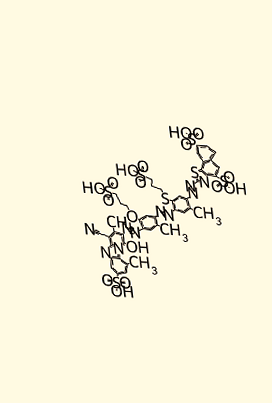 Cc1cc(N=Nc2cc(OCCCS(=O)(=O)O)c(N=Nc3c(C)c(C#N)c4nc5cc(S(=O)(=O)O)cc(C)c5n4c3O)cc2C)c(SCCCS(=O)(=O)O)cc1N=Nc1nc2c(S(=O)(=O)O)cc3ccc(S(=O)(=O)O)cc3c2s1